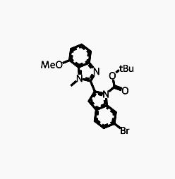 COc1cccc2nc(-c3cc4ccc(Br)cc4n3C(=O)OC(C)(C)C)n(C)c12